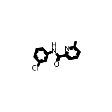 Cc1cccc(C(=O)Nc2cccc(Cl)c2)n1